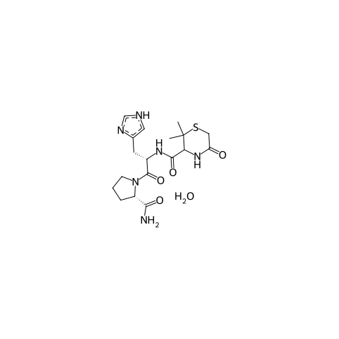 CC1(C)SCC(=O)NC1C(=O)N[C@@H](Cc1c[nH]cn1)C(=O)N1CCC[C@H]1C(N)=O.O